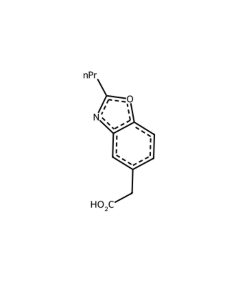 CCCc1nc2cc(CC(=O)O)ccc2o1